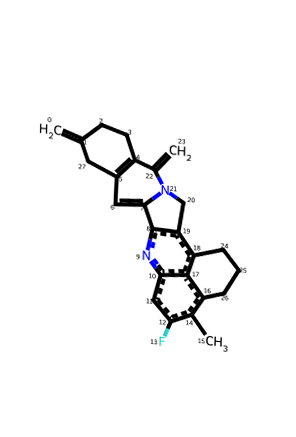 C=C1CCC2=C(C=C3c4nc5cc(F)c(C)c6c5c(c4CN3C2=C)CCC6)C1